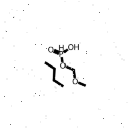 CCCC.COCO[PH](=O)O